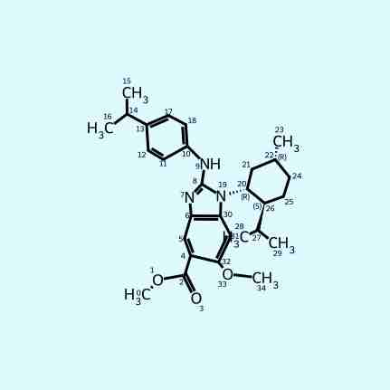 COC(=O)c1cc2nc(Nc3ccc(C(C)C)cc3)n([C@@H]3C[C@H](C)CC[C@H]3C(C)C)c2cc1OC